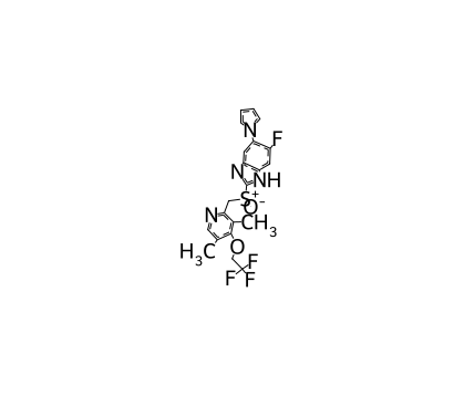 Cc1cnc(C[S+]([O-])c2nc3cc(-n4cccc4)c(F)cc3[nH]2)c(C)c1OCC(F)(F)F